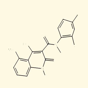 CCN(C(=O)c1c(O)c2c(SC)cccc2n(C)c1=O)c1ccc(F)cc1F